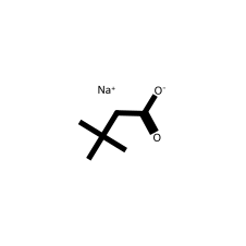 CC(C)(C)CC(=O)[O-].[Na+]